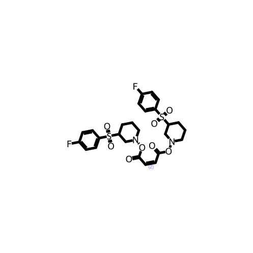 O=C(/C=C\C(=O)ON1CCCC(S(=O)(=O)c2ccc(F)cc2)C1)ON1CCCC(S(=O)(=O)c2ccc(F)cc2)C1